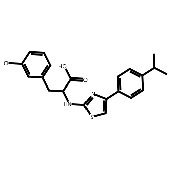 CC(C)c1ccc(-c2csc(NC(Cc3cccc(Cl)c3)C(=O)O)n2)cc1